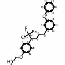 CCOc1ccc(C(CCCc2cccc(Oc3ccccc3)c2)C(F)(F)Cl)cc1